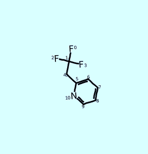 FC(F)(F)[CH]c1ccccn1